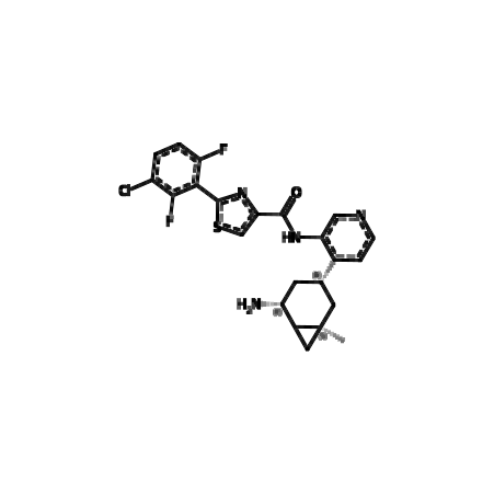 C[C@]12CC1[C@H](N)C[C@H](c1ccncc1NC(=O)c1csc(-c3c(F)ccc(Cl)c3F)n1)C2